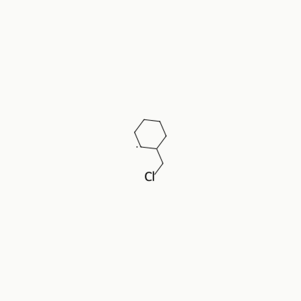 ClCC1[CH]CCCC1